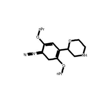 CCCOC1=CC(C2CNCCO2)=C(OCCC)CC1=[N+]=[N-]